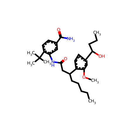 CCCCCC(CC(=O)Nc1cc(C(N)=O)ccc1C(C)(C)C)c1ccc(C(O)CCC)cc1OC